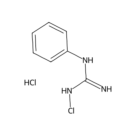 Cl.N=C(NCl)Nc1ccccc1